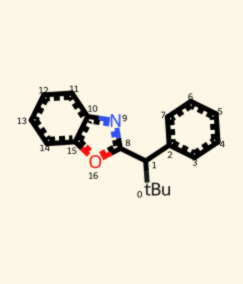 CC(C)(C)C(c1ccccc1)c1nc2ccccc2o1